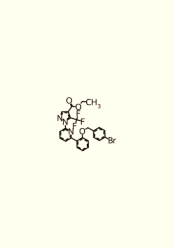 CCOC(=O)c1cnn(-c2cccc(-c3ccccc3OCc3ccc(Br)cc3)n2)c1C(F)(F)F